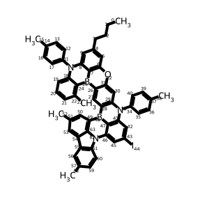 CCCCc1cc2c3c(c1)N(c1ccc(C)cc1)c1cccc(C)c1B3c1cc3c(cc1O2)N(c1ccc(C)cc1)c1cc(I)cc2c1B3c1cc(C)cc3c4cc(C)ccc4n-2c13